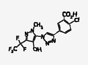 Cn1nc(C(F)(F)C(F)(F)F)c(O)c1-n1cc(-c2ccc(Cl)c(C(=O)O)c2)nn1